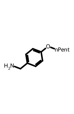 CCCCCOc1ccc(CN)cc1